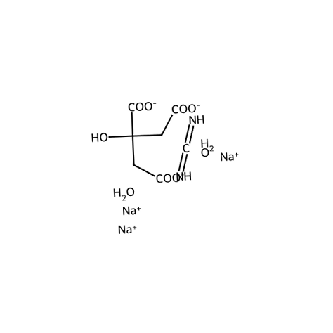 N=C=N.O.O.O=C([O-])CC(O)(CC(=O)[O-])C(=O)[O-].[Na+].[Na+].[Na+]